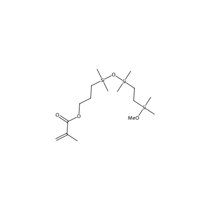 C=C(C)C(=O)OCCC[Si](C)(C)O[Si](C)(C)CC[Si](C)(C)OC